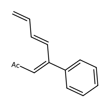 C=CC=CC(=CC(C)=O)c1ccccc1